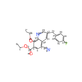 CCOC(=O)c1cc(C#N)c2cc(Cc3ccc(F)cc3)cnc2c1OCC